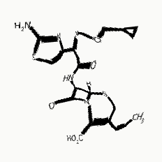 C/C=C\C1=C(C(=O)O)N2C(=O)[C@@H](NC(=O)/C(=N\OCC3CC3)c3csc(N)n3)[C@@H]2SC1